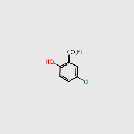 CCOC(=O)c1cc(Cl)ccc1O